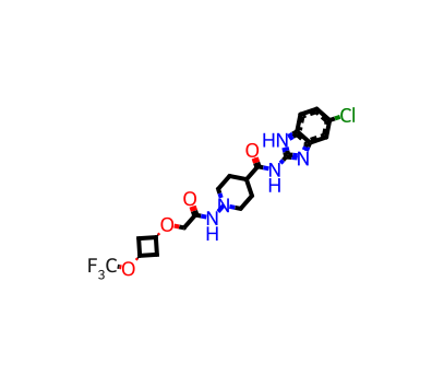 O=C(CO[C@H]1C[C@@H](OC(F)(F)F)C1)NN1CCC(C(=O)Nc2nc3cc(Cl)ccc3[nH]2)CC1